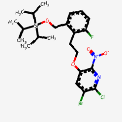 CC(C)[Si](OCc1cccc(F)c1CCOc1cc(Br)c(Cl)nc1[N+](=O)[O-])(C(C)C)C(C)C